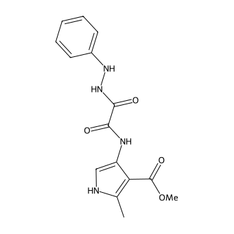 COC(=O)c1c(NC(=O)C(=O)NNc2ccccc2)c[nH]c1C